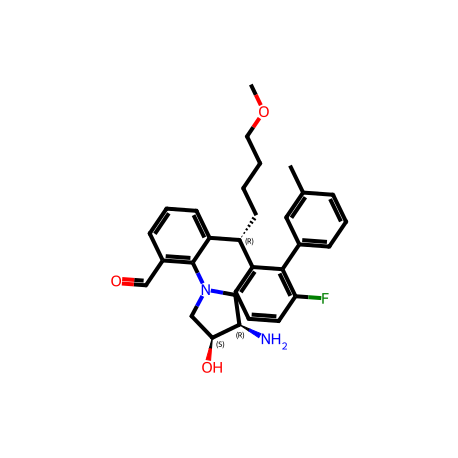 COCCCC[C@H](c1cccc(F)c1-c1cccc(C)c1)c1cccc(C=O)c1N1C[C@@H](N)[C@@H](O)C1